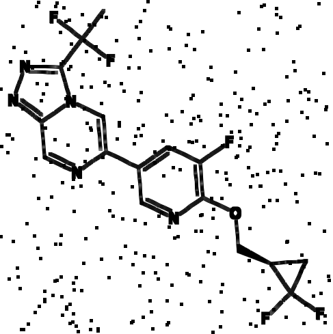 CC(F)(F)c1nnc2cnc(-c3cnc(OC[C@H]4CC4(F)F)c(F)c3)cn12